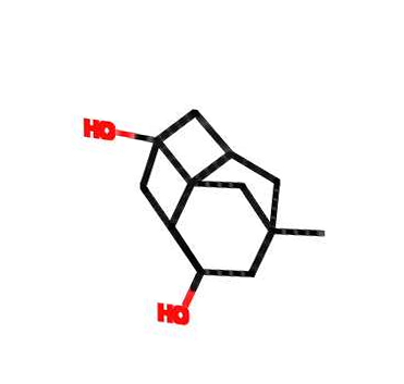 CC12CC3CC4(O)CC(O)(C1)CC34C2